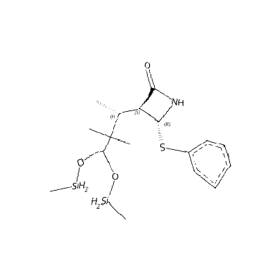 C[SiH2]OC(O[SiH2]C)C(C)(C)[C@H](C)[C@H]1C(=O)N[C@@H]1Sc1ccccc1